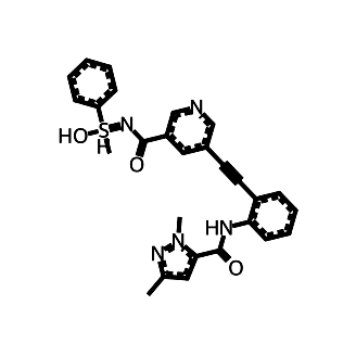 Cc1cc(C(=O)Nc2ccccc2C#Cc2cncc(C(=O)N=[SH](C)(O)c3ccccc3)c2)n(C)n1